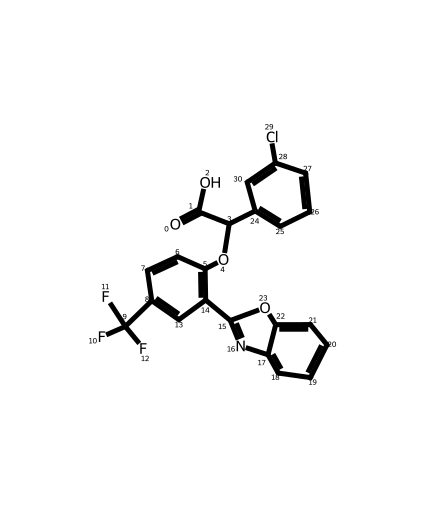 O=C(O)C(Oc1ccc(C(F)(F)F)cc1-c1nc2ccccc2o1)c1cccc(Cl)c1